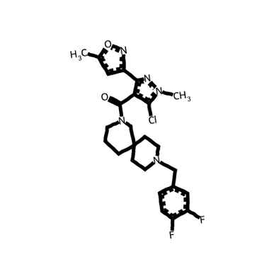 Cc1cc(-c2nn(C)c(Cl)c2C(=O)N2CCCC3(CCN(Cc4ccc(F)c(F)c4)CC3)C2)no1